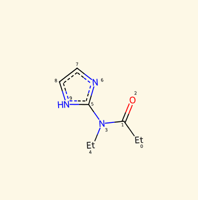 CCC(=O)N(CC)c1ncc[nH]1